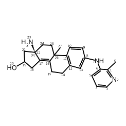 Cc1ncccc1Nc1ccc2c(c1)CCC1=C3CC(O)C[C@]3(N)CCC12C